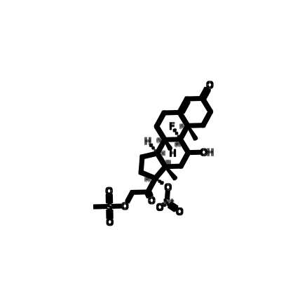 C[C@]12CCC(=O)C=C1CC[C@H]1[C@@H]3CC[C@](O[N+](=O)[O-])(C(=O)COS(C)(=O)=O)[C@@]3(C)CC(O)[C@@]12F